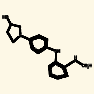 O=C(O)Nc1ccccc1Nc1ccc(N2CCC(O)C2)cc1